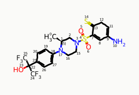 C[C@H]1CN(S(=O)(=O)C2=CC(N)=CCC2=S)CCN1c1ccc(C(O)(C(F)(F)F)C(F)(F)F)cc1